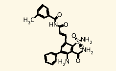 Cc1cccc(C(=O)NC(=O)C=Cc2cc(-c3ccccc3)c(N)c(C(N)=O)c2S(N)(=O)=O)c1